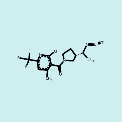 Cc1cc(C(F)(F)F)nc(Cl)c1C(=O)N1CC[C@H](C(C)N=[N+]=[N-])C1